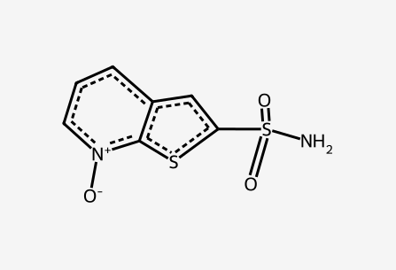 NS(=O)(=O)c1cc2ccc[n+]([O-])c2s1